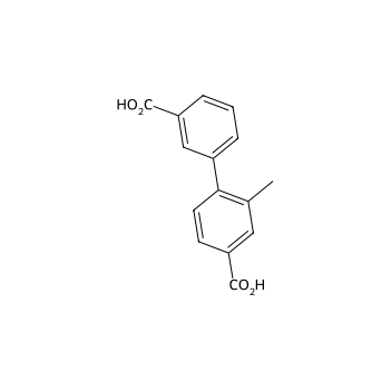 Cc1cc(C(=O)O)ccc1-c1cccc(C(=O)O)c1